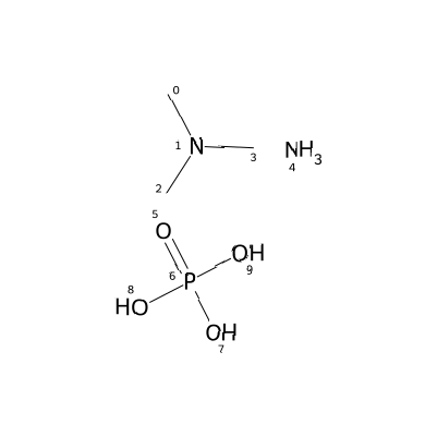 CN(C)C.N.O=P(O)(O)O